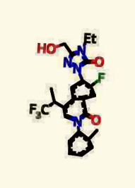 CCn1c(CO)nn(-c2cc3c([C@H](C)C(F)(F)F)cn(-c4ccccc4C)c(=O)c3cc2F)c1=O